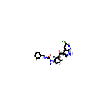 O=C(NCc1ccccc1)Nc1cccc(C(=O)c2c[nH]c3ncc(Br)cc23)c1